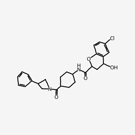 O=C(NC1CCC(C(=O)N2CC(c3ccccc3)C2)CC1)C1CC(O)c2cc(Cl)ccc2O1